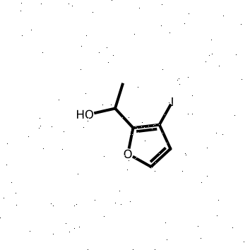 CC(O)c1occc1I